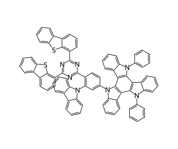 c1ccc(-n2c3ccccc3c3c2c2c4ccccc4n(-c4ccc(-c5nc(-c6cccc7c6sc6ccccc67)nc(-c6cccc7c6sc6ccccc67)n5)c(-n5c6ccccc6c6ccccc65)c4)c2c2c4ccccc4n(-c4ccccc4)c32)cc1